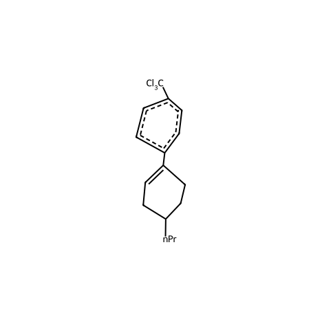 CCCC1CC=C(c2ccc(C(Cl)(Cl)Cl)cc2)CC1